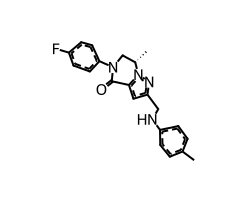 Cc1ccc(NCc2cc3n(n2)[C@@H](C)CN(c2ccc(F)cc2)C3=O)cc1